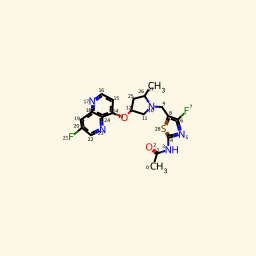 CC(=O)Nc1nc(F)c(CN2CC(Oc3ccnc4cc(F)cnc34)CC2C)s1